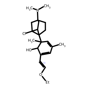 CCO/C=C/C1=CC(C)=CC(C)(C23CCC(N(C)C)(CC2)CC3Cl)C1O